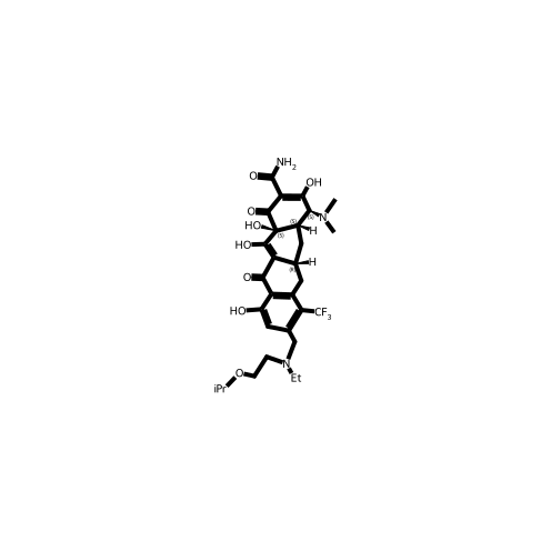 CCN(CCOC(C)C)Cc1cc(O)c2c(c1C(F)(F)F)C[C@H]1C[C@H]3[C@H](N(C)C)C(O)=C(C(N)=O)C(=O)[C@@]3(O)C(O)=C1C2=O